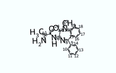 C[C@H](N)C(=O)N[C@H]1N=C(c2ccccc2)c2ccccc2N(C)C1=O